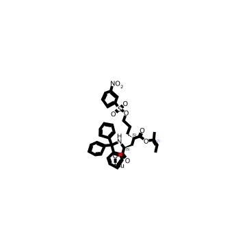 C/C=C(/C)OC(=O)[C@@H](CCCOS(=O)(=O)c1cccc([N+](=O)[O-])c1)C[C@H](NC(c1ccccc1)(c1ccccc1)c1ccccc1)C(=O)OC(C)(C)C